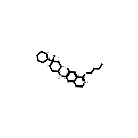 CCCCOc1nccc2cc(OC3CCC(N)(C4CCCCC4)CC3)c(Cl)cc12